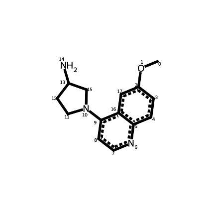 COc1ccc2nccc(N3CCC(N)C3)c2c1